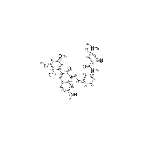 CNc1ncc2cc(-c3cc(OC)cc(OC)c3Cl)c(=O)n(CCc3cccc(N(C)C(=O)C(C#N)=CC(C)(C)N(C)C)c3)c2n1